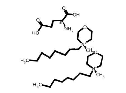 CCCCCCCC[N+]1(C)CCOCC1.CCCCCCCC[N+]1(C)CCOCC1.N[C@@H](CCC(=O)O)C(=O)O